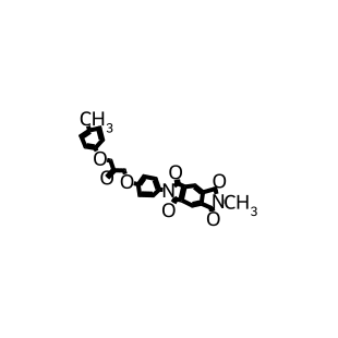 Cc1ccc(OCC(=O)COc2ccc(-n3c(=O)c4cc5c(=O)n(C)c(=O)c5cc4c3=O)cc2)cc1